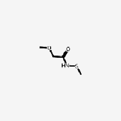 COCC(=O)NSC